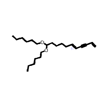 C=CC#C/C=C/CCCCC(OCCCCCC)OCCCCCC